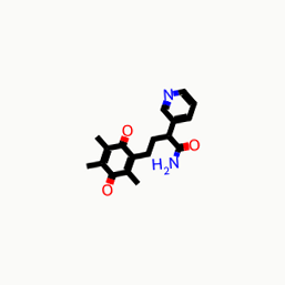 CC1=C(C)C(=O)C(CCC(C(N)=O)c2cccnc2)=C(C)C1=O